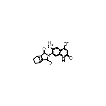 Cc1cc2c(C(F)(F)F)cc(=O)[nH]c2cc1N1C(=O)C2C3CCC(O3)C2C1=O